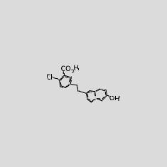 O=C(O)c1cc(CCc2ccc3cc(O)ccc3c2)ccc1Cl